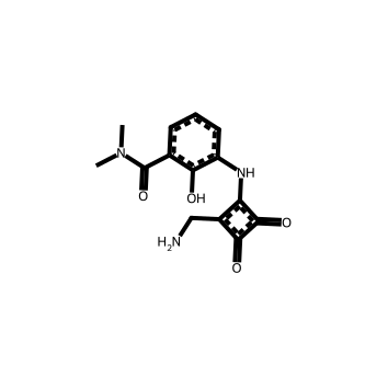 CN(C)C(=O)c1cccc(Nc2c(CN)c(=O)c2=O)c1O